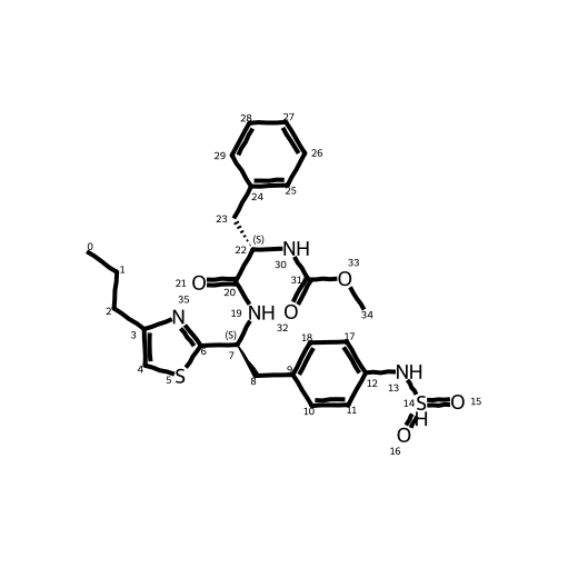 CCCc1csc([C@H](Cc2ccc(N[SH](=O)=O)cc2)NC(=O)[C@H](Cc2ccccc2)NC(=O)OC)n1